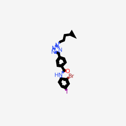 O=C(Nc1ccc(I)cc1Br)c1ccc(-c2nnn(CCCC3CC3)n2)cc1